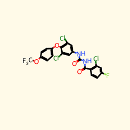 O=C(NC(=O)c1ccc(F)cc1Cl)Nc1cc(Cl)c(Oc2ccc(OC(F)(F)F)cc2)c(Cl)c1